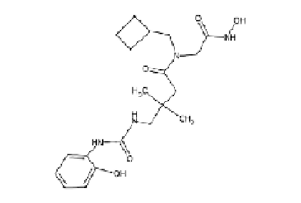 CC(C)(CNC(=O)Nc1ccccc1O)CC(=O)N(CC(=O)NO)CC1CCC1